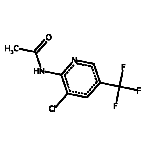 CC(=O)Nc1ncc(C(F)(F)F)cc1Cl